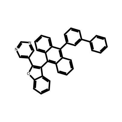 c1ccc(-c2cccc(-c3c4ccccc4c(-c4c(-c5cncnc5)oc5ccccc45)c4ccccc34)c2)cc1